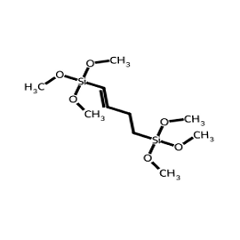 CO[Si](C=CCC[Si](OC)(OC)OC)(OC)OC